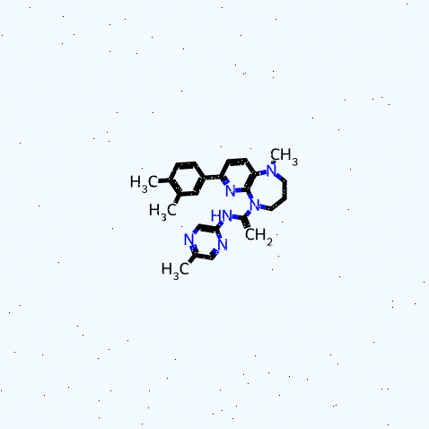 C=C(Nc1cnc(C)cn1)N1CCCN(C)c2ccc(-c3ccc(C)c(C)c3)nc21